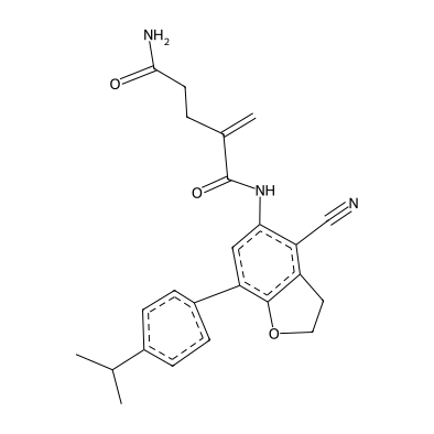 C=C(CCC(N)=O)C(=O)Nc1cc(-c2ccc(C(C)C)cc2)c2c(c1C#N)CCO2